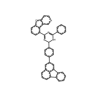 c1ccc(C2=NC(c3cccc4oc5ccncc5c34)=NC(c3ccc(-c4cc5c6c(cccc6c4)-c4ccccc4-5)cc3)N2)cc1